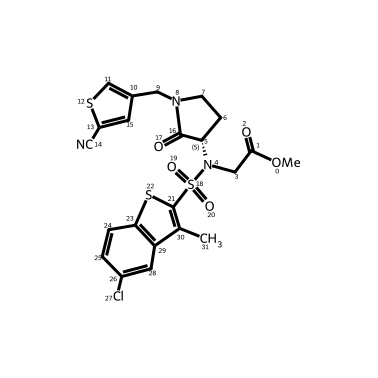 COC(=O)CN([C@H]1CCN(Cc2csc(C#N)c2)C1=O)S(=O)(=O)c1sc2ccc(Cl)cc2c1C